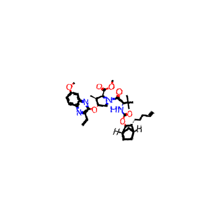 C=CCCC[C@@H]1[C@@H]2CC[C@@H](C2)[C@H]1OC(=O)N[C@H](C(=O)N1C[C@H](Oc2nc3cc(OC)ccc3nc2C=C)[C@@H](C)[C@H]1C(=O)OC)C(C)(C)C